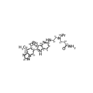 Cc1c(-c2[nH]c3ccc(NCCN(CCC(N)=O)C(C)C)nc3c2C(C)C)cn2ncnc2c1C